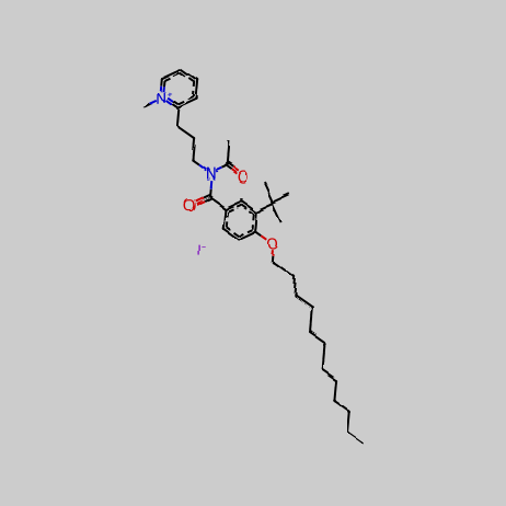 CCCCCCCCCCCCOc1ccc(C(=O)N(CCCc2cccc[n+]2C)C(C)=O)cc1C(C)(C)C.[I-]